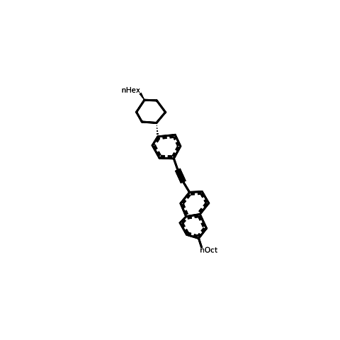 CCCCCCCCc1ccc2cc(C#Cc3ccc([C@H]4CC[C@H](CCCCCC)CC4)cc3)ccc2c1